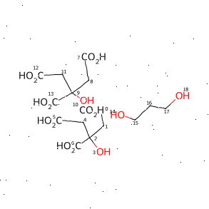 O=C(O)CC(O)(CC(=O)O)C(=O)O.O=C(O)CC(O)(CC(=O)O)C(=O)O.OCCCO